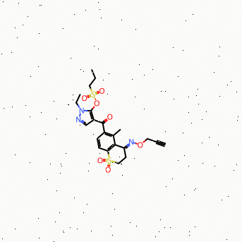 C#CCO/N=C1\CCS(=O)(=O)c2ccc(C(=O)c3cnn(CC)c3OS(=O)(=O)CCC)c(C)c21